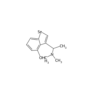 CC(c1c[se]c2cccc(O)c12)N(C)C